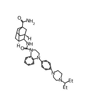 CCC(CC)N1CCN(c2ccc(N3CCN(C(=O)NC4[C@@H]5CC6C[C@H]4CC(C(N)=O)(C6)C5)c4ccccc43)cc2)CC1